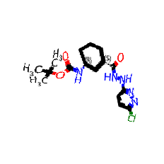 CC(C)(C)OC(=O)N[C@@H]1CCC[C@H](C(=O)NNc2ccc(Cl)nn2)C1